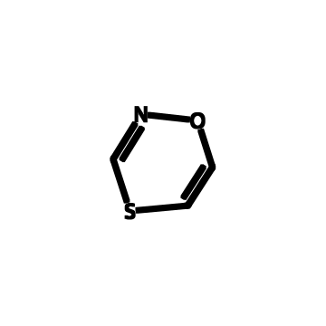 C1=CSC=NO1